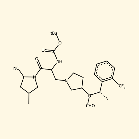 CC1CC(C#N)N(C(=O)C(CN2CCC(N(C=O)[C@@H](C)c3ccccc3C(F)(F)F)C2)NC(=O)OC(C)(C)C)C1